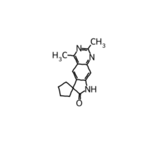 Cc1nc(C)c2cc3c(cc2n1)NC(=O)C31CCCC1